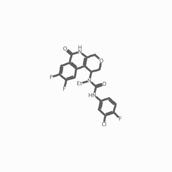 CCN(C(=O)Nc1ccc(F)c(Cl)c1)C1COCc2[nH]c(=O)c3cc(F)c(F)cc3c21